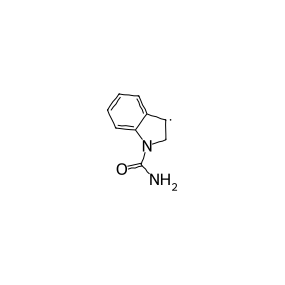 NC(=O)N1C[CH]c2ccccc21